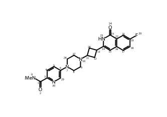 CNC(=O)c1ccc(N2CCN(C3CC(c4cc5ccc(F)cc5c(=O)[nH]4)C3)CC2)cn1